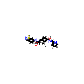 C[C@@H](Cc1ccc(C(=O)NCc2ccccn2)cc1)C(=O)Nc1ccc2cnsc2c1